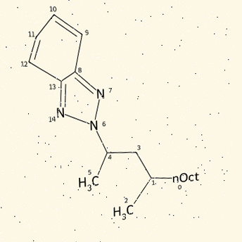 CCCCCC[CH]CC(C)CC(C)n1nc2ccccc2n1